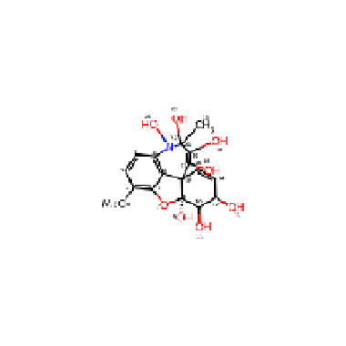 COc1ccc2c3c1O[C@]1(O)C(O)[C@H](O)C=CC31C(O)=C(O)C(C)(O)N2O